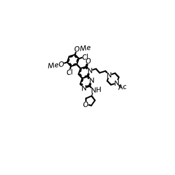 COc1cc(OC)c(Cl)c(-c2cc3cnc(N[C@H]4CCOC4)nc3n(CCCN3CCN(C(C)=O)CC3)c2=O)c1Cl